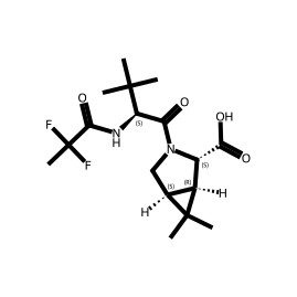 CC(F)(F)C(=O)N[C@H](C(=O)N1C[C@H]2[C@@H]([C@H]1C(=O)O)C2(C)C)C(C)(C)C